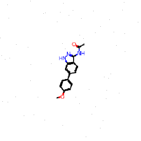 COc1ccc(-c2ccc3c(NC(C)=O)n[nH]c3c2)cc1